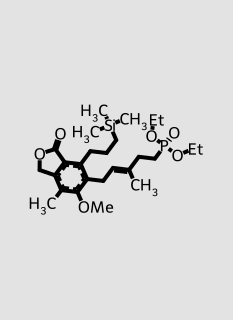 CCOP(=O)(CC/C(C)=C/Cc1c(CCC[Si](C)(C)C)c2c(c(C)c1OC)COC2=O)OCC